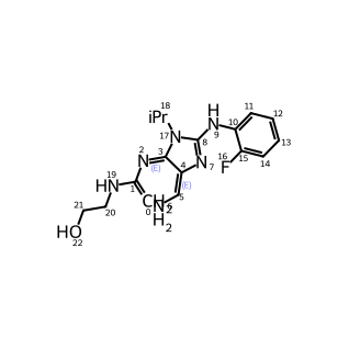 C=C(/N=C1\C(=C/N)N=C(Nc2ccccc2F)N1C(C)C)NCCO